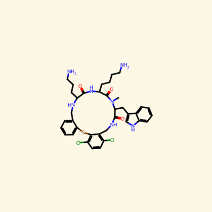 CN1C(=O)C(CCCCN)NC(=O)C(CCCN)NCc2ccccc2Sc2c(Cl)ccc(Cl)c2CNC(=O)C1Cc1c[nH]c2ccccc12